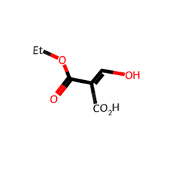 CCOC(=O)C(=CO)C(=O)O